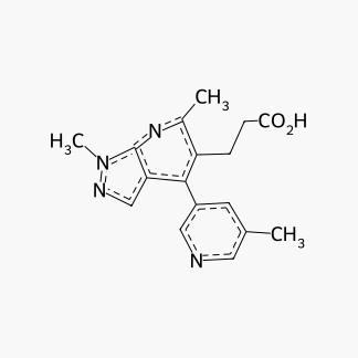 Cc1cncc(-c2c(CCC(=O)O)c(C)nc3c2cnn3C)c1